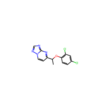 CC(Oc1ccc(Cl)cc1Cl)c1ccn2ncnc2n1